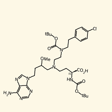 COC(CCn1cnc2c(N)ncnc21)CN(CC[C@H](NC(=O)OC(C)(C)C)C(=O)O)CCN(CCc1ccc(Cl)cc1)C(=O)OC(C)(C)C